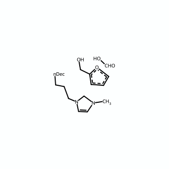 CCCCCCCCCCCCCN1C=CN(C)C1.O=CO.OCc1ccco1